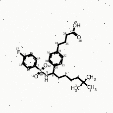 CC(C)(C)CCCCC(NS(=O)(=O)c1ccc(F)cc1)c1ccc(CCCC(=O)O)cc1